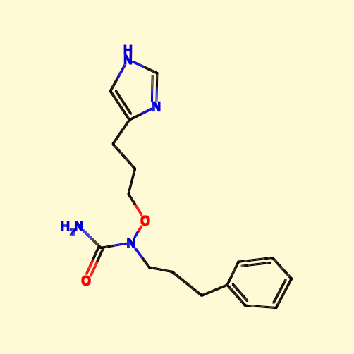 NC(=O)N(CCCc1ccccc1)OCCCc1c[nH]cn1